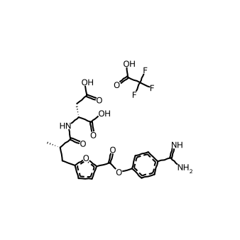 C[C@@H](Cc1ccc(C(=O)Oc2ccc(C(=N)N)cc2)o1)C(=O)N[C@H](CC(=O)O)C(=O)O.O=C(O)C(F)(F)F